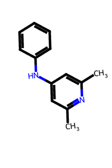 Cc1cc(Nc2ccccc2)cc(C)n1